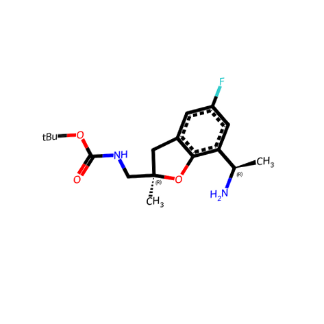 C[C@@H](N)c1cc(F)cc2c1O[C@@](C)(CNC(=O)OC(C)(C)C)C2